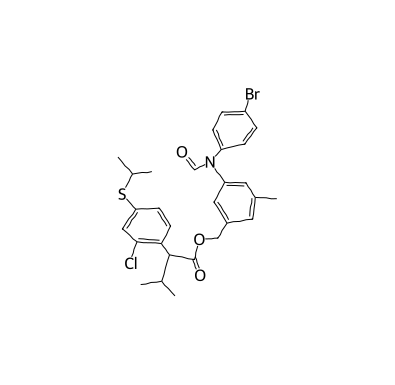 Cc1cc(COC(=O)C(c2ccc(SC(C)C)cc2Cl)C(C)C)cc(N(C=O)c2ccc(Br)cc2)c1